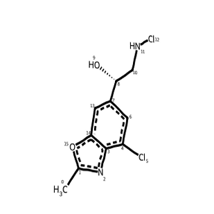 Cc1nc2c(Cl)cc([C@H](O)CNCl)cc2o1